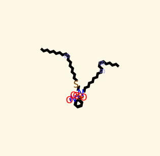 CCCCC/C=C\C/C=C\CCCCCCCCN(CCSCCCCCCCC/C=C\CCCCCCCC)S(=O)(=O)c1ccccc1[N+](=O)[O-]